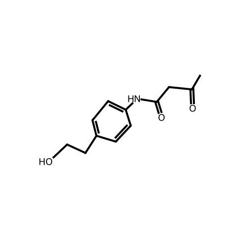 CC(=O)CC(=O)Nc1ccc(CCO)cc1